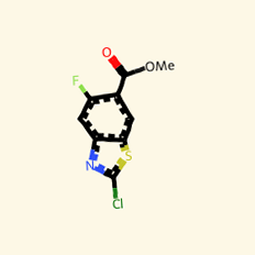 COC(=O)c1cc2sc(Cl)nc2cc1F